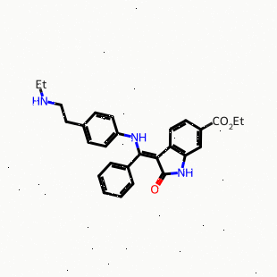 CCNCCc1ccc(N/C(=C2/C(=O)Nc3cc(C(=O)OCC)ccc32)c2ccccc2)cc1